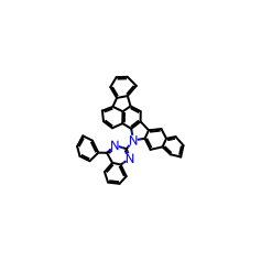 c1ccc(-c2nc(-n3c4cc5ccccc5cc4c4cc5c6c(cccc6c43)-c3ccccc3-5)nc3ccccc23)cc1